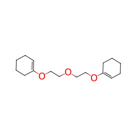 C1=C(OCCOCCOC2=CCCCC2)CCCC1